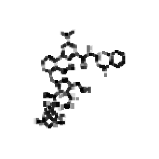 CCOc1c(CN2O[C@@H](CO)[C@@H]([C@H](C)O)[C@H]2C(=O)N[C@H]2C[C@H]3C[C@@H]([C@@H]2C)C3(C)C)cccc1-c1cc(C(=O)N[C@H](Cc2ccccc2)CN(C)C)cc(N(C)C)c1